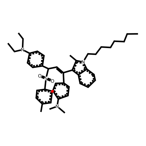 CCCCCCCCn1c(C)c(C(=CC(c2ccc(N(CC)CC)cc2)S(=O)(=O)c2ccc(C)cc2)c2ccc(N(C)C)cc2)c2ccccc21